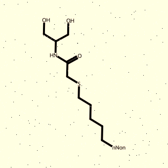 CCCCCCCCCCCCCCSCC(=O)NC(CO)CO